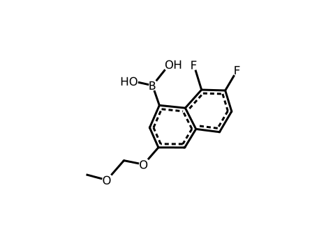 COCOc1cc(B(O)O)c2c(F)c(F)ccc2c1